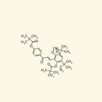 COc1c(C(C)(C)C)cc(C(C)(C)C)c(OC(=O)C(C)(C)C)c1C=CC(=O)c1ccc(OC(=O)C(C)(C)C)cc1